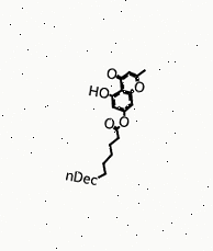 CCCCCCCCCCCCCCCC(=O)Oc1cc(O)c2c(=O)cc(C)oc2c1